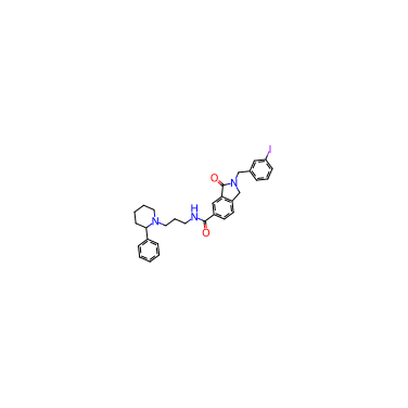 O=C(NCCCN1CCCCC1c1ccccc1)c1ccc2c(c1)C(=O)N(Cc1cccc(I)c1)C2